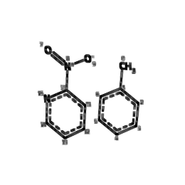 Cc1ccccc1.O=[N+]([O-])c1ccccn1